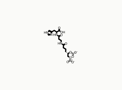 O=C(CCC[C@@H](CO[N+](=O)[O-])O[N+](=O)[O-])NCCC(=O)NC(Cc1c[nH]cn1)C(=O)O